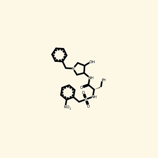 CC(C)C[C@H](NS(=O)(=O)Cc1ccccc1[N+](=O)[O-])C(=O)NC1CN(Cc2ccccc2)CC1O